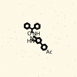 CC(=O)c1ccc(-c2ccc3c(NC(=O)C(c4ccccc4)c4ccccc4)n[nH]c3c2)cc1